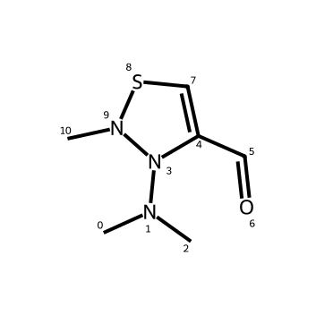 CN(C)N1C(C=O)=CSN1C